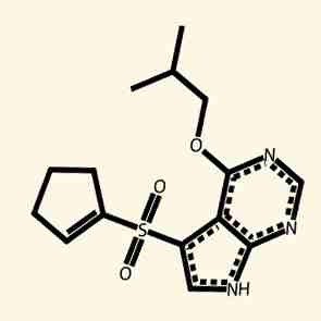 CC(C)COc1ncnc2[nH]cc(S(=O)(=O)C3=CCCC3)c12